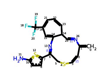 C=C1/C=C\SC/C(c2ccc(N)s2)=N\C2=CC(C(F)(F)F)=CC=CC2/C=N/1